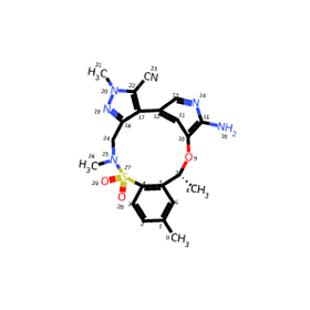 Cc1ccc2c(c1)[C@@H](C)Oc1cc(cnc1N)-c1c(nn(C)c1C#N)CN(C)S2(=O)=O